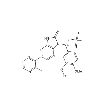 CCOc1cc([C@@H](CS(C)(=O)=O)n2c(=O)[nH]c3cc(-c4nccnc4C)cnc32)ccc1OC